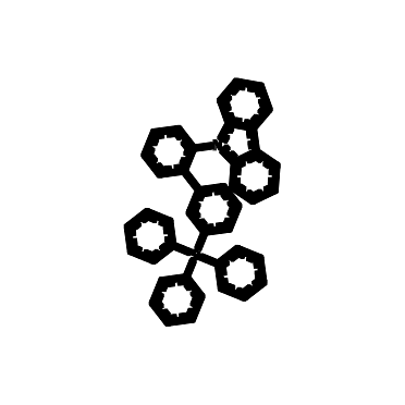 c1ccc([Si](c2ccccc2)(c2ccccc2)c2cccc(-c3ccccc3-n3c4ccccc4c4ccccc43)c2)cc1